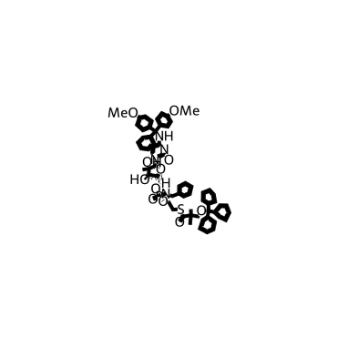 COc1ccc(C(Nc2ccn([C@@H]3O[C@H](COP(=O)(NCc4ccccc4)OCCSC(=O)C(C)(C)COC(c4ccccc4)(c4ccccc4)c4ccccc4)[C@@H](O)C3(C)O)c(=O)n2)(c2ccccc2)c2ccc(OC)cc2)cc1